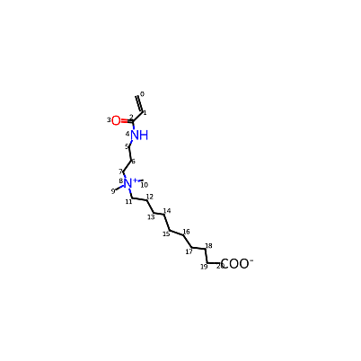 C=CC(=O)NCCC[N+](C)(C)CCCCCCCCCC(=O)[O-]